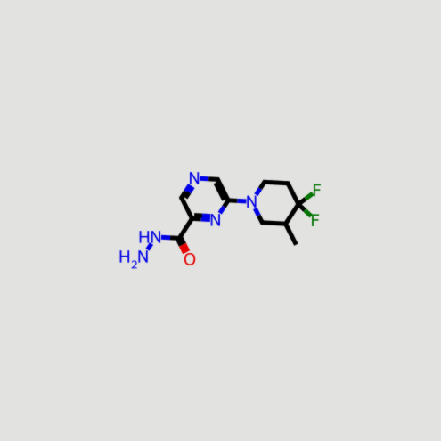 CC1CN(c2cncc(C(=O)NN)n2)CCC1(F)F